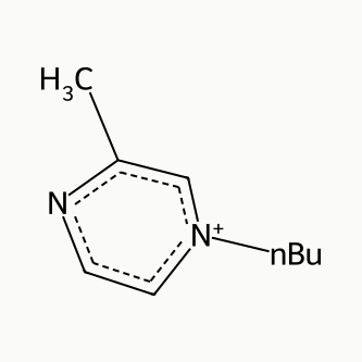 CCCC[n+]1ccnc(C)c1